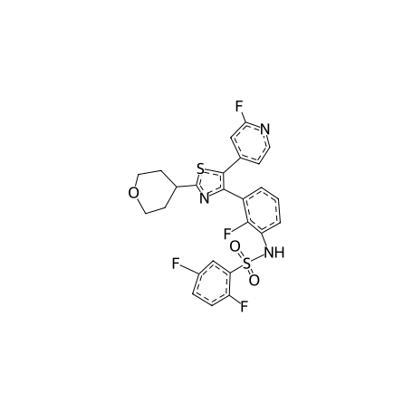 O=S(=O)(Nc1cccc(-c2nc(C3CCOCC3)sc2-c2ccnc(F)c2)c1F)c1cc(F)ccc1F